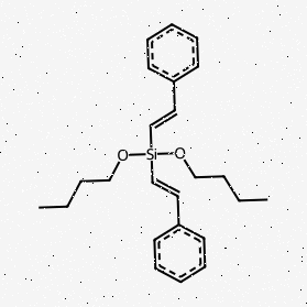 CCCCO[Si](C=Cc1ccccc1)(C=Cc1ccccc1)OCCCC